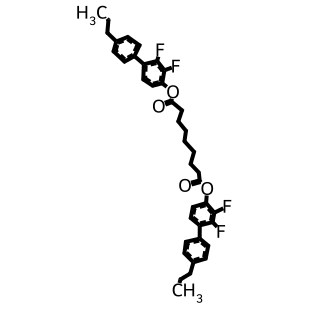 CCCc1ccc(-c2ccc(OC(=O)CCCCCCCC(=O)Oc3ccc(-c4ccc(CCC)cc4)c(F)c3F)c(F)c2F)cc1